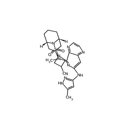 Cc1cc(Nc2cc3nccnc3c(N(C)[C@@H]3C[C@H]4CCC[C@@H](C3)N4S(=O)(=O)N3CC(C#N)C3)n2)n[nH]1